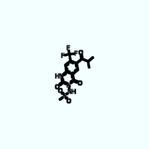 CC(C)C(=O)c1cc2c(=O)n(NS(C)(=O)=O)c(=O)[nH]c2cc1C(F)(F)F